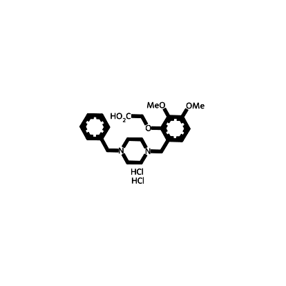 COc1ccc(CN2CCN(Cc3ccccc3)CC2)c(OCC(=O)O)c1OC.Cl.Cl